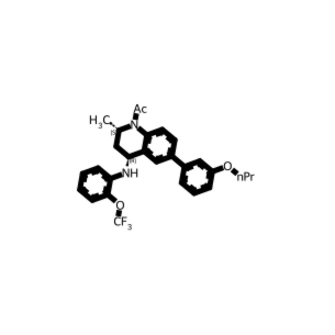 CCCOc1cccc(-c2ccc3c(c2)[C@H](Nc2ccccc2OC(F)(F)F)C[C@H](C)N3C(C)=O)c1